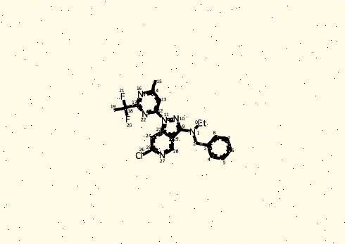 CCN(Cc1ccccc1)c1nn(-c2cc(C)nc(C(C)(F)F)n2)c2cc(Cl)ncc12